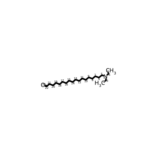 CCN(CC)CCCCCCCCCCCCCCCCC[C]=O